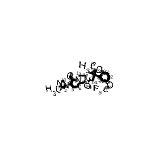 Cc1cn(-c2ccc3n(c2=O)CCN(CC24CC2(C)Oc2ccc(OC(F)(F)F)cc24)C3=O)cn1